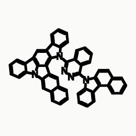 c1ccc2cc3c(cc2c1)c1c2c(cc4c5ccccc5n3c41)c1ccccc1n2-c1nnc(-n2c3ccccc3c3c4ccccc4ccc32)c2ccccc12